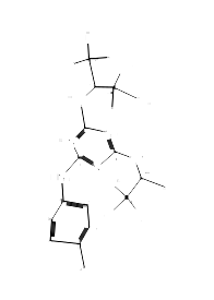 Cc1ccc(Nc2nc(OC(C)C(F)(F)F)nc(OC(C(F)(F)F)C(F)(F)F)n2)cc1